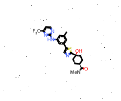 CNC(=O)[C@H]1CC[C@](O)(c2ncc(-c3cc(C)cc(Nc4nccc(C(F)(F)F)n4)c3)s2)CC1